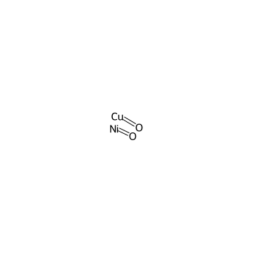 [O]=[Cu].[O]=[Ni]